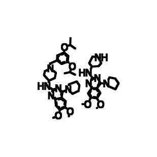 COc1cc2nc(NC3CCN(Cc4cc(OC(C)C)cc(OC(C)C)c4)CC3)nc(N3CCCCC3)c2cc1OC.COc1cc2nc(NC3CCNCC3)nc(N3CCCCC3)c2cc1OC